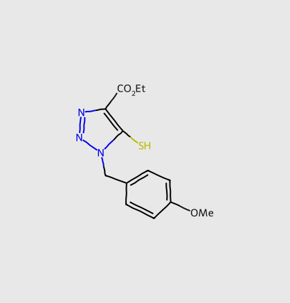 CCOC(=O)c1nnn(Cc2ccc(OC)cc2)c1S